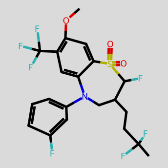 COc1cc2c(cc1C(F)(F)F)N(c1cccc(F)c1)CC(CCC(C)(F)F)C(F)S2(=O)=O